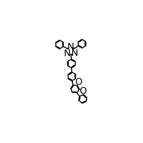 c1ccc(-c2nc(-c3ccccc3)nc(-c3ccc(-c4ccc5c(c4)oc4c5ccc5c6ccccc6oc54)cc3)n2)cc1